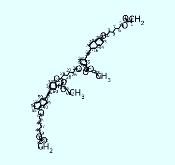 C=CC(=O)OCCCCCCOc1ccc2cc(C#Cc3ccc(OCCCCCCOc4ccc(C#Cc5ccc6c(OCCCCCCOC(=O)C=C)cccc6c5)cc4C(=O)OCCC)c(C(=O)OCCC)c3)ccc2c1